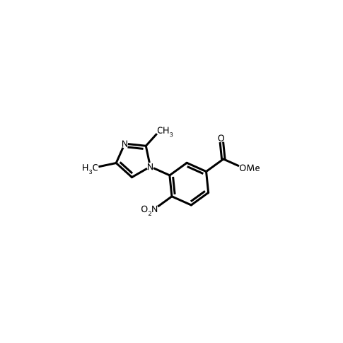 COC(=O)c1ccc([N+](=O)[O-])c(-n2cc(C)nc2C)c1